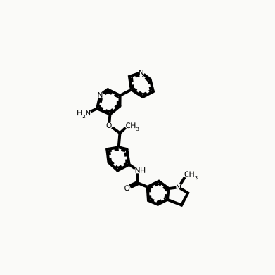 CC(Oc1cc(-c2cccnc2)cnc1N)c1cccc(NC(=O)c2ccc3c(c2)N(C)CC3)c1